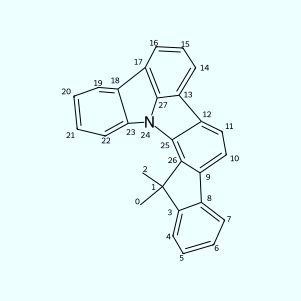 CC1(C)c2ccccc2-c2ccc3c4cccc5c6ccccc6n(c3c21)c54